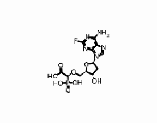 Nc1nc(F)nc2c1ncn2[C@H]1C[C@H](O)[C@@H](CO[C@H](C(=O)O)P(=O)(O)O)O1